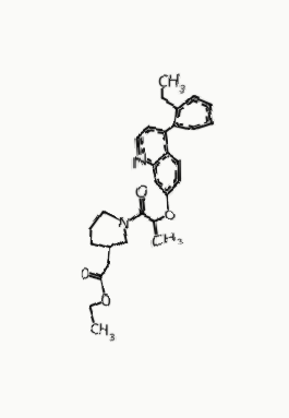 CCOC(=O)C[C@H]1CCCN(C(=O)C(C)Oc2ccc3c(-c4ccccc4CC)ccnc3c2)C1